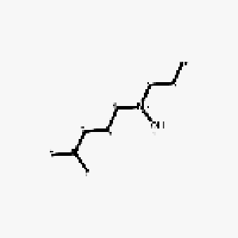 CCCN(O)CCCC(C)C